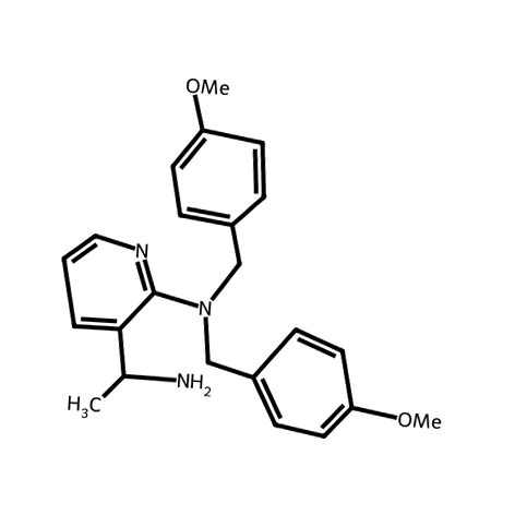 COc1ccc(CN(Cc2ccc(OC)cc2)c2ncccc2C(C)N)cc1